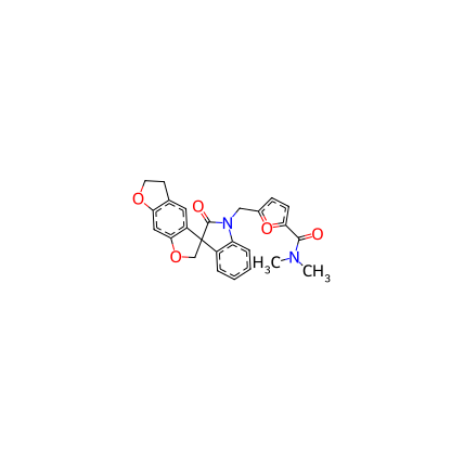 CN(C)C(=O)c1ccc(CN2C(=O)C3(COc4cc5c(cc43)CCO5)c3ccccc32)o1